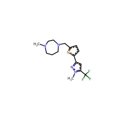 CN1CCCN(Cc2ccc(-c3cc(C(F)(F)F)n(C)n3)s2)CC1